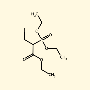 CCOC(=O)C(CI)P(=O)(OCC)OCC